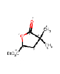 CCOC(=O)C1CC(C)(C)C(=O)O1